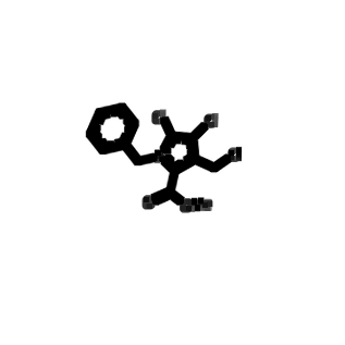 COC(=O)c1c(CCl)c(Cl)c(Cl)n1Cc1ccccc1